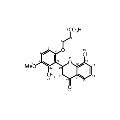 COc1ccc(OCCC(=O)O)c(C2CC(=O)c3cccc(Cl)c3O2)c1C(F)(F)F